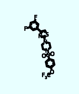 O=S(=O)(c1ccc(OC(F)(F)F)cc1)N1CCN(c2nc(-c3cc(F)cc(F)c3)cs2)CC1